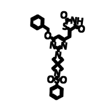 O=C1NC(=O)/C(=C/c2cc(OCc3ccccc3)nc(N3CC4(C3)CN(S(=O)(=O)c3ccccc3)C4)n2)S1